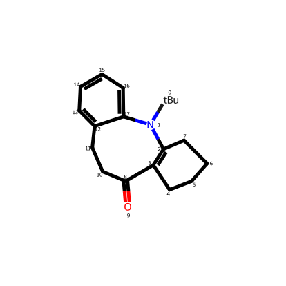 CC(C)(C)N1C2=C(CCCC2)C(=O)CCc2ccccc21